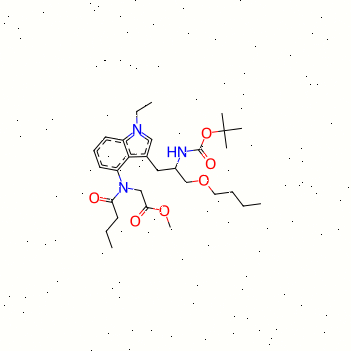 CCCCOCC(Cc1cn(CC)c2cccc(N(CC(=O)OC)C(=O)CCC)c12)NC(=O)OC(C)(C)C